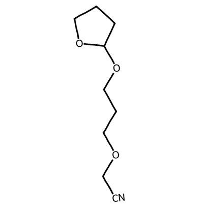 N#CCOCCCOC1CCCO1